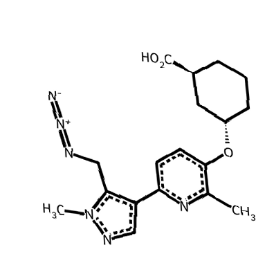 Cc1nc(-c2cnn(C)c2CN=[N+]=[N-])ccc1O[C@H]1CCC[C@H](C(=O)O)C1